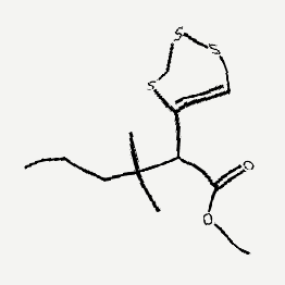 CCCC(C)(C)C(C(=O)OC)C1=CSSS1